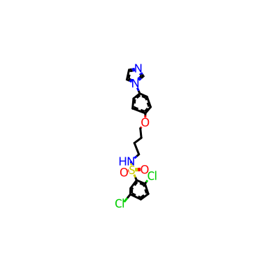 O=S(=O)(NCCCCOc1ccc(-n2ccnc2)cc1)c1cc(Cl)ccc1Cl